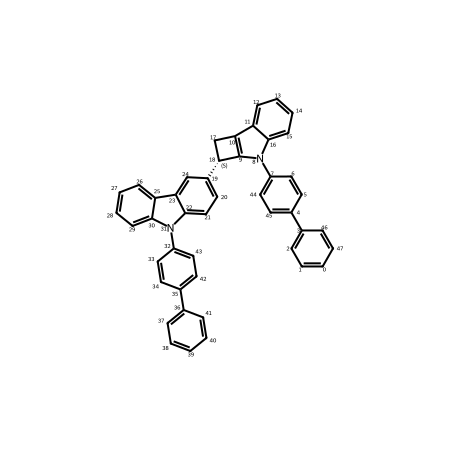 c1ccc(-c2ccc(-n3c4c(c5ccccc53)C[C@H]4c3ccc4c(c3)c3ccccc3n4-c3ccc(-c4ccccc4)cc3)cc2)cc1